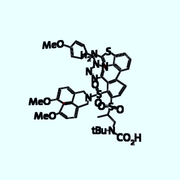 COc1ccc(CN(Cc2ccc(OC)cc2)S(=O)(=O)c2c(S(=O)(=O)C(C)CN(C(=O)O)C(C)(C)C)ccc(-c3cccc4sc(N)nc34)c2-c2nnn(Cc3ccc(OC)cc3)n2)cc1